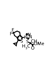 COC(=O)C(C)(C)Sc1nncn1-c1sc(C2CC2)c2c1CCC(F)(F)C2